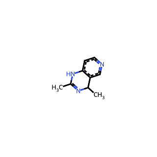 CC1=NC(C)c2cnccc2N1